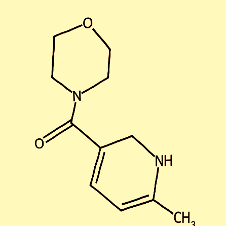 CC1=CC=C(C(=O)N2CCOCC2)CN1